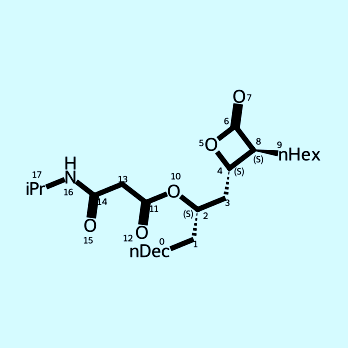 CCCCCCCCCCC[C@@H](C[C@@H]1OC(=O)[C@H]1CCCCCC)OC(=O)CC(=O)NC(C)C